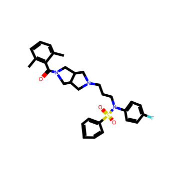 Cc1cccc(C)c1C(=O)N1CC2CN(CCCN(c3ccc(F)cc3)S(=O)(=O)c3ccccc3)CC2C1